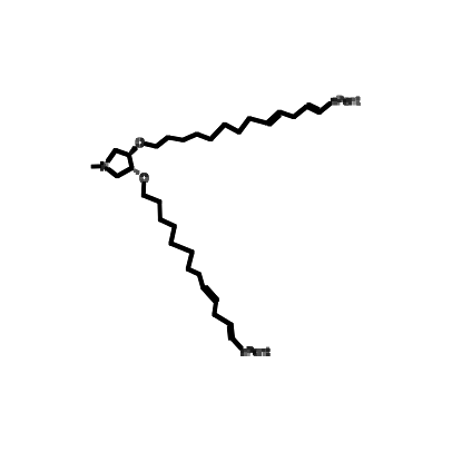 CCCCCC=CCC=CCCCCCCCCO[C@@H]1CN(C)C[C@H]1OCCCCCCCCC=CCC=CCCCCC